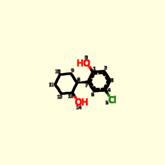 Oc1ccc(Cl)cc1[C@@H]1CCCCC1O